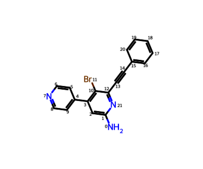 Nc1cc(-c2ccncc2)c(Br)c(C#Cc2ccccc2)n1